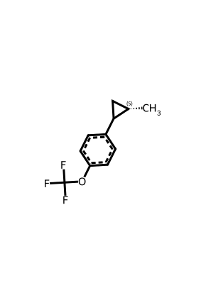 C[C@H]1CC1c1ccc(OC(F)(F)F)cc1